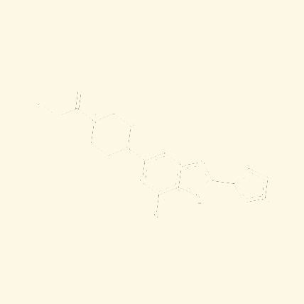 CC(C)(C)OC(=O)N1CCN(c2cn3nc(-c4ccco4)nc3c(N)n2)CC1